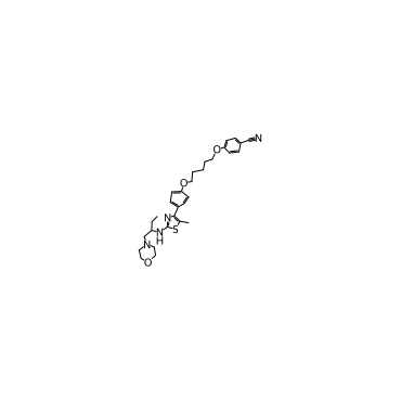 CCC(CN1CCOCC1)Nc1nc(-c2ccc(OCCCCCOc3ccc(C#N)cc3)cc2)c(C)s1